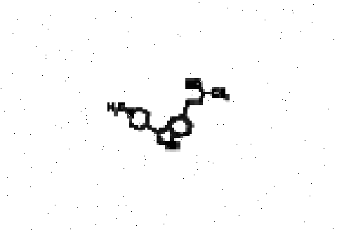 CC(O)/C=C/c1ccc2[nH]cc(C3CCN(C)CC3)c2c1